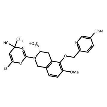 CCC1=CC(C)(C#N)N=C(N2Cc3ccc(OC)c(OCc4ccc(OC)cn4)c3C[C@H]2C(=O)O)O1